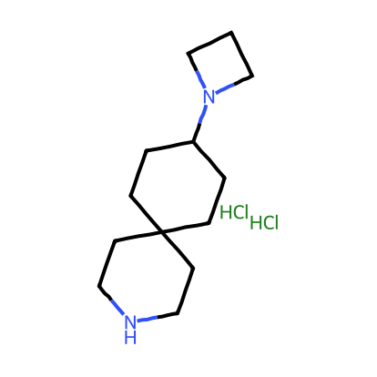 C1CN(C2CCC3(CCNCC3)CC2)C1.Cl.Cl